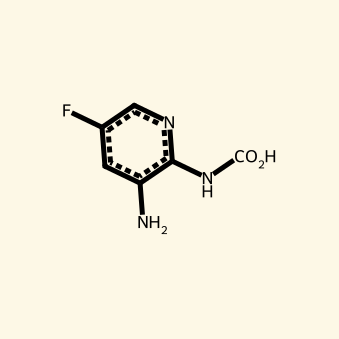 Nc1cc(F)cnc1NC(=O)O